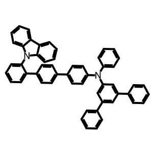 c1ccc(-c2cc(-c3ccccc3)cc(N(c3ccccc3)c3ccc(-c4ccc(-c5ccccc5-n5c6ccccc6c6ccccc65)cc4)cc3)c2)cc1